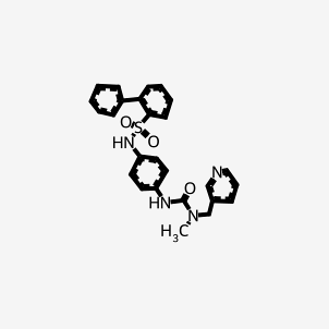 CN(Cc1cccnc1)C(=O)Nc1ccc(NS(=O)(=O)c2ccccc2-c2ccccc2)cc1